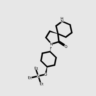 CC[Si](CC)(CC)O[C@H]1CC[C@H](N2CC[C@@]3(CCCNC3)C2=O)CC1